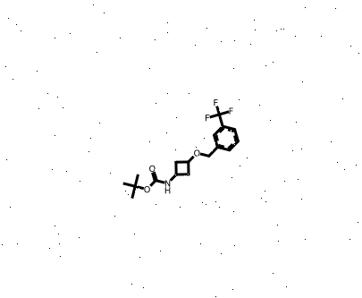 CC(C)(C)OC(=O)NC1CC(OCc2cccc(C(F)(F)F)c2)C1